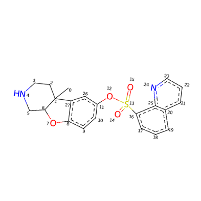 CC12CCNCC1Oc1ccc(OS(=O)(=O)c3cccc4cccnc34)cc12